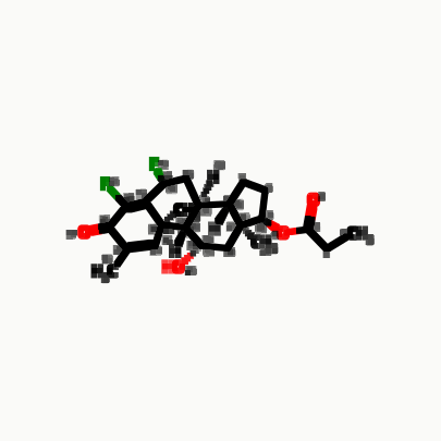 CCC(=O)O[C@@H]1CC[C@H]2[C@@H]3C[C@H](F)C4=C(F)C(=O)C(C)=C[C@]4(C)[C@H]3[C@@H](O)C[C@]12C